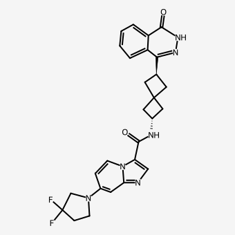 O=C(N[C@H]1CC2(C1)C[C@H](c1n[nH]c(=O)c3ccccc31)C2)c1cnc2cc(N3CCC(F)(F)C3)ccn12